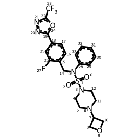 O=S(=O)(N1CCN(C2COC2)CC1)N(Cc1ccc(-c2nnc(C(F)(F)F)o2)cc1F)c1ccccc1